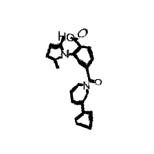 Cc1ccc(C)n1-c1cc(C(=O)N2CCC=C(c3ccccc3)C2)ccc1C(=O)O